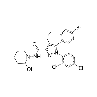 CCc1c(C(=O)NN2CCCCC2O)nn(-c2ccc(Cl)cc2Cl)c1-c1ccc(Br)cc1